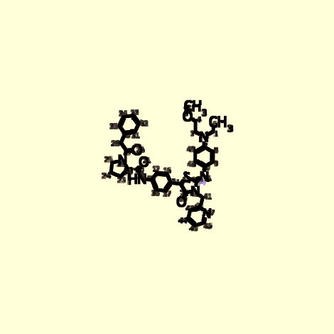 CCN(CCOC)c1ccc(/N=C2\SC(c3ccc(NC(=O)[C@@H]4CCCN4C(=O)Cc4ccccc4)cc3)C(=O)N2Cc2ccccn2)cc1